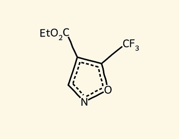 CCOC(=O)c1cnoc1C(F)(F)F